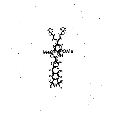 CCOCCN(CCOCC)c1nc(OC)c(NC(=O)c2ccc(Cc3cc4c(cc3C)C(C)(C)OC4(C)C)o2)c(OC)n1